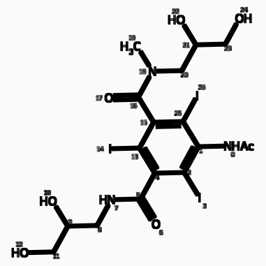 CC(=O)Nc1c(I)c(C(=O)NCC(O)CO)c(I)c(C(=O)N(C)CC(O)CO)c1I